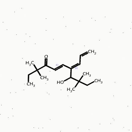 C=C/C=C(\C=C\C(=O)C(C)(C)CC)C(O)C(C)(C)CC